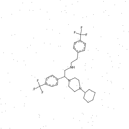 FC(F)(F)c1ccc(CCNCC(c2ccc(C(F)(F)F)cc2)N2CCN(C3CCCCC3)CC2)cc1